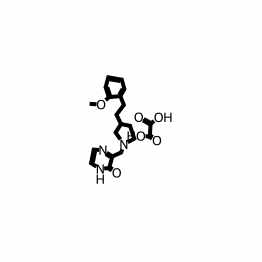 COc1ccccc1CCC1CCN(Cc2ncc[nH]c2=O)C1.O=C(O)C(=O)O